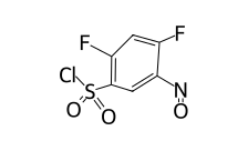 O=Nc1cc(S(=O)(=O)Cl)c(F)cc1F